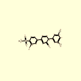 NS(=O)(=O)c1ccc(C2=CC(=S)C(c3cc(Cl)cc(Cl)c3)C=C2)cc1F